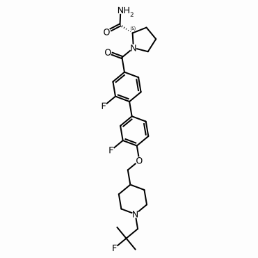 CC(C)(F)CN1CCC(COc2ccc(-c3ccc(C(=O)N4CCC[C@H]4C(N)=O)cc3F)cc2F)CC1